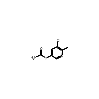 Cc1ncc(OC(N)=O)cc1Cl